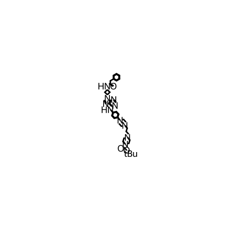 CC(C)(C)OC(=O)N1CCN(CCCN2CCN(c3ccc(Nc4ncnc5c4ncn5C4CC(NC(=O)Cc5ccccc5)C4)cc3)CC2)CC1